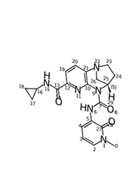 Cn1cccc(NC(=O)N2c3nc(C(=O)NC4CC4)ccc3N3CC[C@H]2C3)c1=O